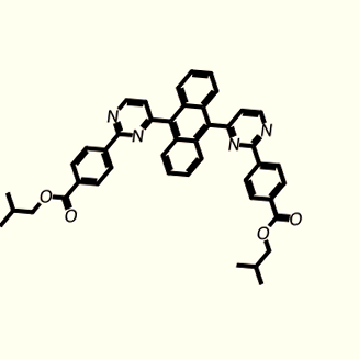 CC(C)COC(=O)c1ccc(-c2nccc(-c3c4ccccc4c(-c4ccnc(-c5ccc(C(=O)OCC(C)C)cc5)n4)c4ccccc34)n2)cc1